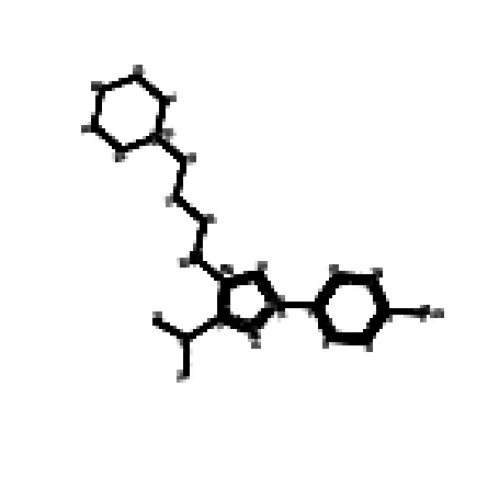 CC(C)c1nn(-c2ccc(F)cc2)cc1OCCCN1CCCCC1